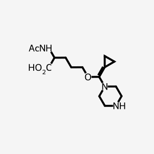 CC(=O)NC(CCCOC(=C1CC1)N1CCNCC1)C(=O)O